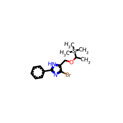 CC(OCc1[nH]c(-c2ccccc2)nc1Br)[Si](C)(C)C